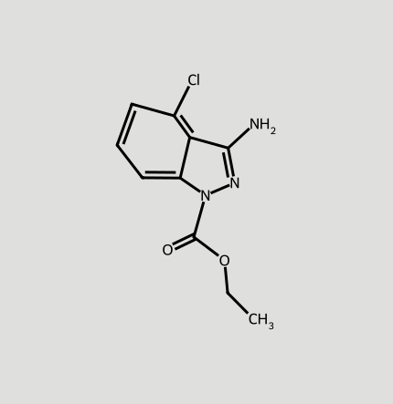 CCOC(=O)n1nc(N)c2c(Cl)cccc21